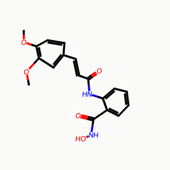 COc1ccc(/C=C/C(=O)Nc2ccccc2C(=O)NO)cc1OC